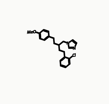 COc1ccc(CCC(CCc2ccccc2Cl)Cn2ccnc2)cc1